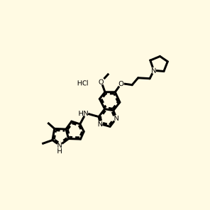 COc1cc2c(Nc3ccc4[nH]c(C)c(C)c4c3)ncnc2cc1OCCCN1CCCC1.Cl